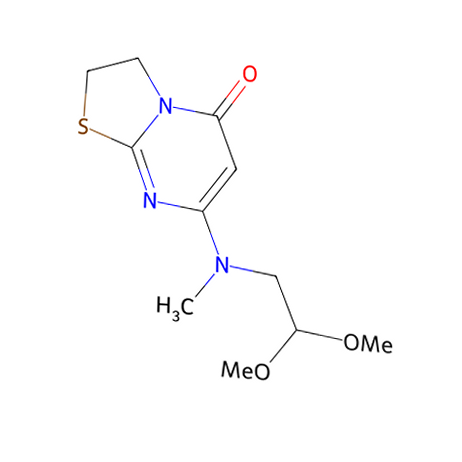 COC(CN(C)c1cc(=O)n2c(n1)SCC2)OC